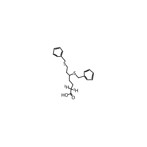 [2H]C([2H])(CCC(CCSCc1ccccc1)SCc1ccccc1)C(=O)O